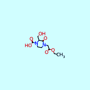 CCOC(=O)CN1CCN(C(=O)O)C(CO)C1=O